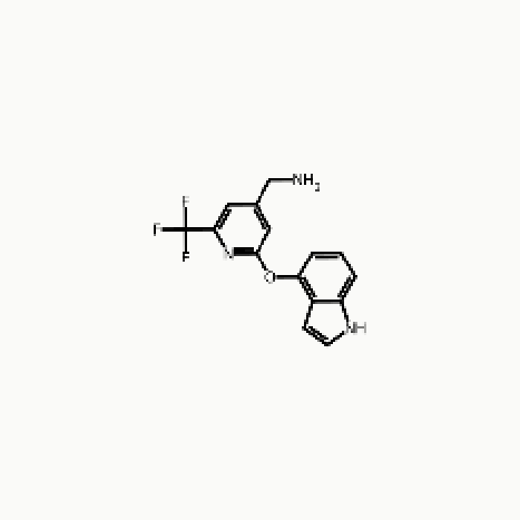 NCc1cc(Oc2cccc3[nH]ccc23)nc(C(F)(F)F)c1